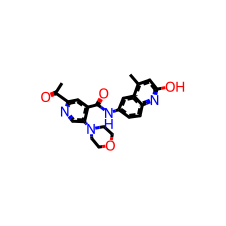 CC(=O)c1cc(C(=O)Nc2ccc3nc(O)cc(C)c3c2)c(N2CCOCC2)cn1